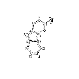 Brc1[c]c2c(cc1)oc1ccccc12